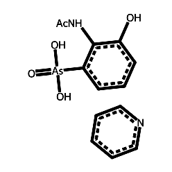 CC(=O)Nc1c(O)cccc1[As](=O)(O)O.c1ccncc1